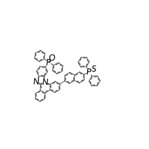 O=P(c1ccccc1)(c1ccccc1)c1ccc2nc3c4ccccc4c4ccc(-c5ccc6cc(P(=S)(c7ccccc7)c7ccccc7)ccc6c5)cc4n3c2c1